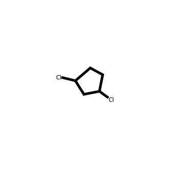 ClC1CCC(Cl)C1